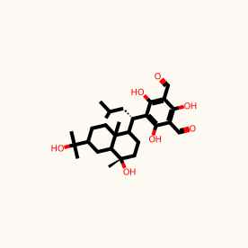 CC(C)C[C@H](c1c(O)c(C=O)c(O)c(C=O)c1O)C1CC[C@](C)(O)C2CC(C(C)(C)O)CCC12C